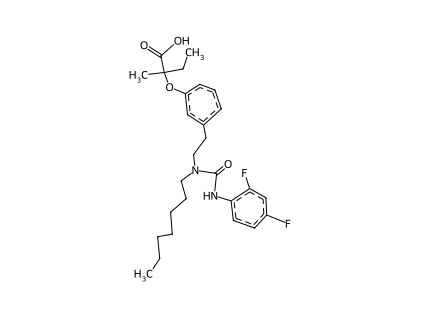 CCCCCCCN(CCc1cccc(OC(C)(CC)C(=O)O)c1)C(=O)Nc1ccc(F)cc1F